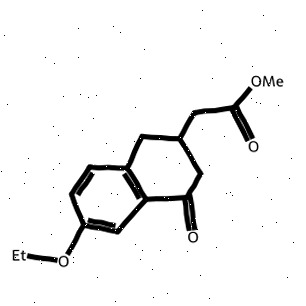 CCOc1ccc2c(c1)C(=O)CC(CC(=O)OC)C2